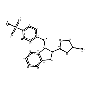 NS(=O)(=O)c1ccc(OC2c3ccccc3CC2N2CC[C@@H](O)C2)cc1